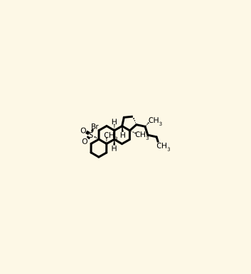 CCC[C@@H](C)[C@H]1CC[C@H]2[C@@H]3CC[C@]4(S(=O)(=O)Br)CCCC[C@]4(C)[C@H]3CC[C@]12C